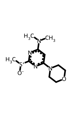 CN(C)c1cc(N2CCOCC2)nc([S+](C)[O-])n1